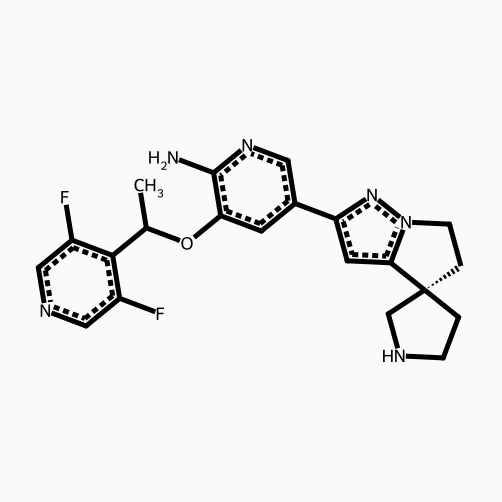 CC(Oc1cc(-c2cc3n(n2)CC[C@@]32CCNC2)cnc1N)c1c(F)cncc1F